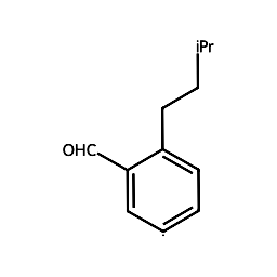 CC(C)CCc1cc[c]cc1C=O